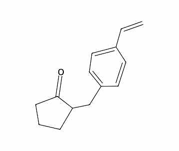 C=Cc1ccc(CC2CCCC2=O)cc1